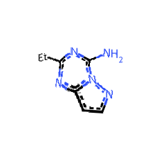 CCc1nc(N)n2nccc2n1